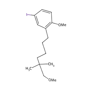 COCC(C)(C)CCCCc1cc(I)ccc1OC